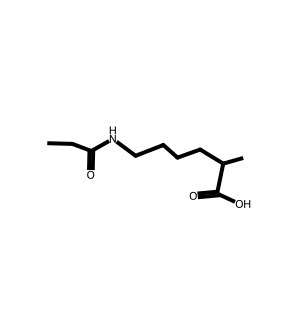 CCC(=O)NCCCCC(C)C(=O)O